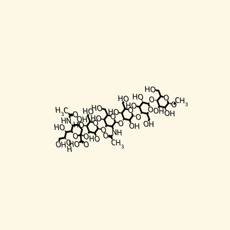 CO[C@@H]1OC(CO)[C@@H](O[C@@H]2OC(CO)[C@H](O[C@H]3OC(CO)[C@H](O)[C@H](O[C@@H]4OC(CO)[C@H](O)C(O[C@@H]5OC(CO)[C@H](O)C(O[C@]6(C(=O)O)C[C@@H](O)[C@@H](NC(C)=O)C([C@H](O)[C@H](O)CO)O6)C5O)C4NC(C)=O)C3O)C(O)[C@@H]2O)C(O)[C@@H]1O